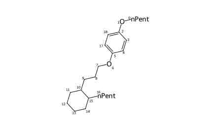 CCCCCOc1ccc(OCCCC2CCCCC2CCCCC)cc1